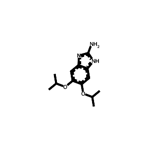 CC(C)Oc1cc2nc(N)[nH]c2cc1OC(C)C